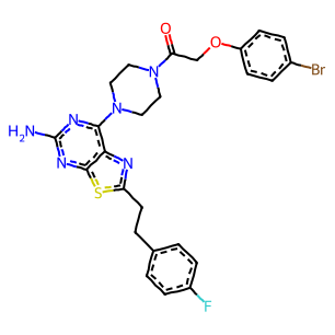 Nc1nc(N2CCN(C(=O)COc3ccc(Br)cc3)CC2)c2nc(CCc3ccc(F)cc3)sc2n1